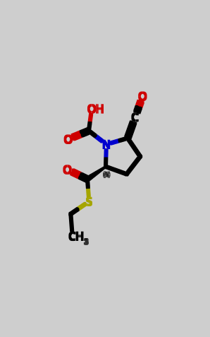 CCSC(=O)[C@@H]1CCC(=C=O)N1C(=O)O